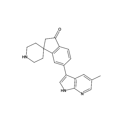 Cc1cnc2[nH]cc(-c3ccc4c(c3)C3(CCNCC3)CC4=O)c2c1